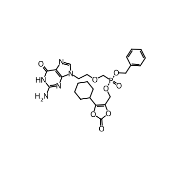 Nc1nc2c(ncn2CCOCP(=O)(OCc2ccccc2)OCc2oc(=O)oc2C2CCCCC2)c(=O)[nH]1